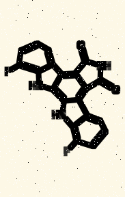 O=C1NC(=O)c2c1c1c3cccc(F)c3[nH]c1c1[nH]c3c(F)cccc3c21